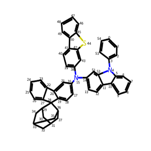 c1ccc(-n2c3ccccc3c3ccc(N(c4ccc5c(c4)-c4ccccc4C54C5CC6CC(C5)CC4C6)c4ccc5c(c4)sc4ccccc45)cc32)cc1